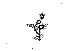 Cl.Cl.Cl.O=C(C1CCNC1)N1Cc2cc(Cl)ccc2-n2c(nnc2C2CCN(c3ccccn3)CC2)C1